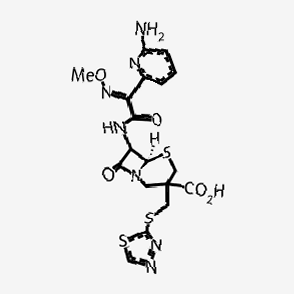 CON=C(C(=O)NC1C(=O)N2CC(CSc3nncs3)(C(=O)O)CS[C@H]12)c1cccc(N)n1